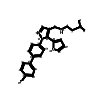 CC(C)CCNCc1cnn(-c2ccc(-c3ccc(F)cc3)cc2)c1-c1ccco1